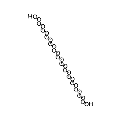 OOOOOOOOOOOOOOOOOOOOOOOOOOOO